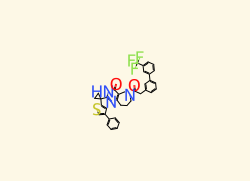 O=C(Cc1cccc(-c2cccc(C(F)(F)F)c2)c1)N1CCCc2nc(C3(c4cc(-c5ccccc5)cs4)CC3)[nH]c(=O)c2C1